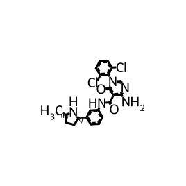 C[C@@H]1CC[C@H](c2cccc(NC(=O)c3c(N)ncn(-c4c(Cl)cccc4Cl)c3=O)c2)N1